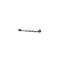 CC[N+](C)(C)CCCCCCCCCCCCCCCCCCCc1ccccc1.[Cl-]